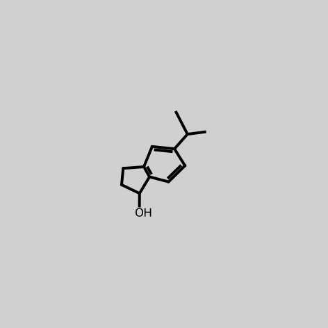 CC(C)c1ccc2c(c1)CCC2O